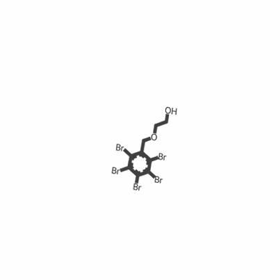 OCCOCc1c(Br)c(Br)c(Br)c(Br)c1Br